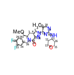 COC[C@H]1Cc2cn(-c3nc(NC4CCOCC4)ncc3C)nc2C(=O)N1Cc1ccc(F)c(F)c1